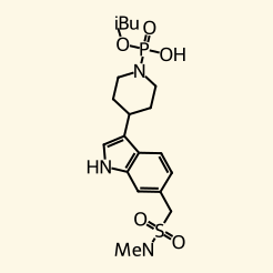 CCC(C)OP(=O)(O)N1CCC(c2c[nH]c3cc(CS(=O)(=O)NC)ccc23)CC1